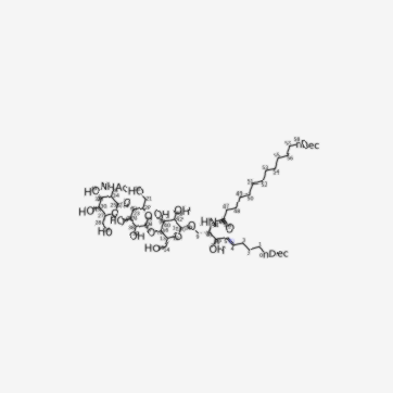 CCCCCCCCCCCCC/C=C/[C@@H](O)[C@H](CO[C@@H]1OC(CO)[C@@H](O[C@@H]2OC(CO)[C@@H](O[C@@H]3OC(CO)[C@@H](O)[C@H](O)C3NC(C)=O)[C@H](O)C2O)[C@H](O)C1O)NC(=O)CCCCCCCCCCCCCCCCCCCCC